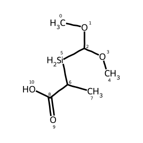 COC(OC)[SiH2]C(C)C(=O)O